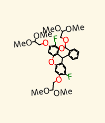 COC(COC(=O)c1ccccc1C1c2cc(F)c(OCC(OC)OC)cc2Oc2cc(OCC(OC)OC)c(F)cc21)OC